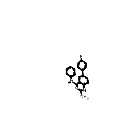 CN(c1ccccc1)c1nc(N)nc2ccc(-c3ccc(F)cc3)cc12